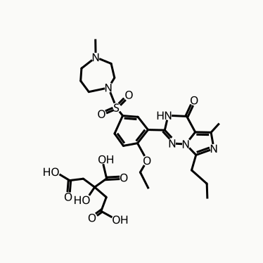 CCCc1nc(C)c2c(=O)[nH]c(-c3cc(S(=O)(=O)N4CCCN(C)CC4)ccc3OCC)nn12.O=C(O)CC(O)(CC(=O)O)C(=O)O